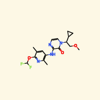 COCC(C1CC1)n1ccnc(Nc2cc(C)c(OC(F)F)nc2C)c1=O